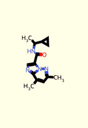 Cc1cc(C)c2ncc(C(=O)NC(C)C3CC3)n2n1